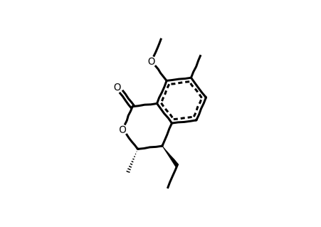 CC[C@@H]1c2ccc(C)c(OC)c2C(=O)O[C@H]1C